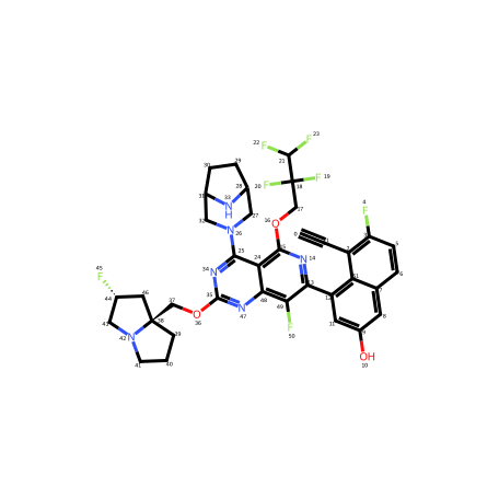 C#Cc1c(F)ccc2cc(O)cc(-c3nc(OCC(F)(F)C(F)F)c4c(N5CC6CCC(C5)N6)nc(OC[C@@]56CCCN5C[C@H](F)C6)nc4c3F)c12